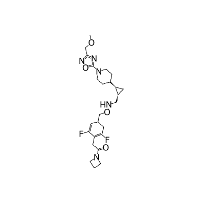 COCc1noc(N2CCC([C@H]3C[C@H]3CNOCC3C=C(F)C(CC(=O)N4CCC4)=C(F)C3)CC2)n1